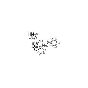 O=S1(=O)c2ccccc2N(CCc2ccccc2)CCN1Cc1c[nH]cn1